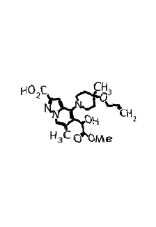 C=CCOC1(C)CCN(c2c(C(O)C(=O)OC)c(C)cn3nc(C(=O)O)cc23)CC1